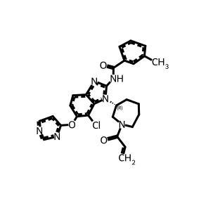 C=CC(=O)N1CCCC[C@@H](n2c(NC(=O)c3cccc(C)c3)nc3ccc(Oc4ccncn4)c(Cl)c32)C1